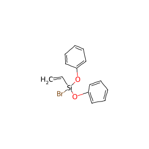 C=C[Si](Br)(Oc1ccccc1)Oc1ccccc1